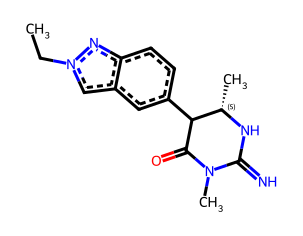 CCn1cc2cc(C3C(=O)N(C)C(=N)N[C@H]3C)ccc2n1